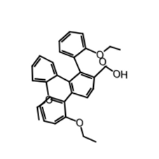 CCOc1ccccc1-c1ccc(C(=O)O)c(-c2ccccc2OCC)c1-c1ccccc1OCC